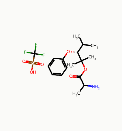 CC(N)C(=O)OC(C)(C)[C@H](Oc1ccccc1)C(C)C.O=S(=O)(O)C(F)(F)F